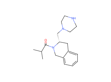 CC(C)C(=O)N1Cc2ccccc2C[C@H]1CN1CCNCC1